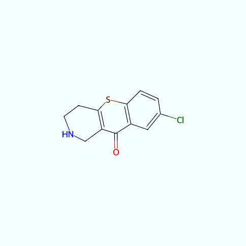 O=c1c2c(sc3ccc(Cl)cc13)CCNC2